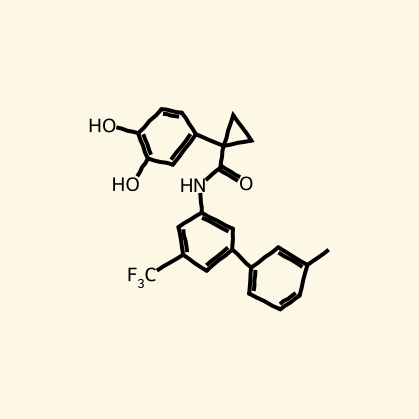 Cc1cccc(-c2cc(NC(=O)C3(c4ccc(O)c(O)c4)CC3)cc(C(F)(F)F)c2)c1